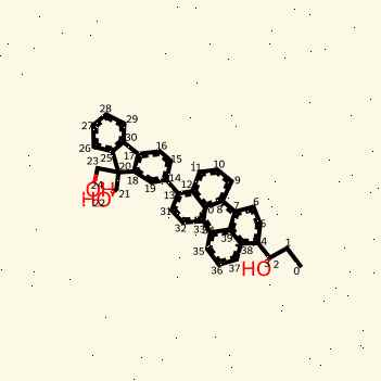 CCC(O)c1ccc2c3cccc4c(-c5ccc6c(c5)C(CO)(CO)c5ccccc5-6)ccc(c5cccc1c52)c43